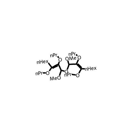 CCCCCCC(OCCC)=C(OCCC)C(OC)OC(OC)C(OCCC)=C(CCCCCC)OCCC